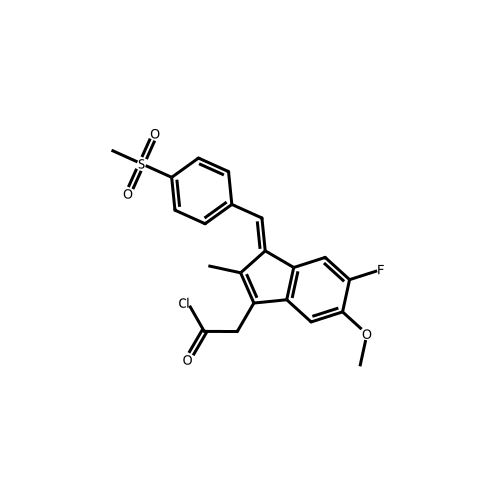 COc1cc2c(cc1F)C(=Cc1ccc(S(C)(=O)=O)cc1)C(C)=C2CC(=O)Cl